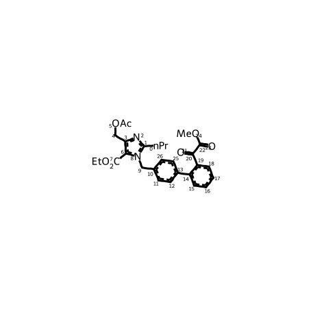 CCCc1nc(COC(C)=O)c(C(=O)OCC)n1Cc1ccc(-c2ccccc2C(=O)C(=O)OC)cc1